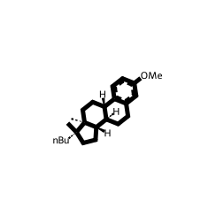 CCCC[C@@]1(C)CC[C@H]2[C@@H]3CCc4cc(OC)ccc4[C@H]3CC[C@@]21C